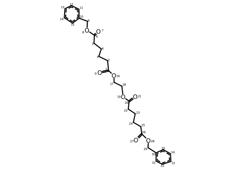 O=C(CCCCC(=O)OCc1ccccc1)OCCOC(=O)CCCCC(=O)OCc1ccccc1